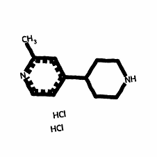 Cc1cc(C2CCNCC2)ccn1.Cl.Cl